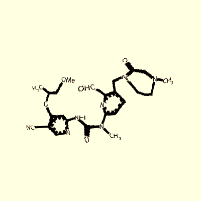 COCC(C)Oc1cc(NC(=O)N(C)c2ccc(CN3CCN(C)CC3=O)c(C=O)n2)ncc1C#N